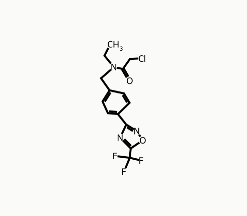 CCN(Cc1ccc(-c2noc(C(F)(F)F)n2)cc1)C(=O)CCl